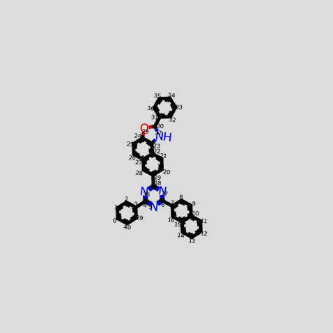 c1ccc(-c2nc(-c3ccc4ccccc4c3)nc(-c3ccc4c5c(ccc4c3)OC(c3ccccc3)N5)n2)cc1